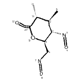 C[C@H]1[C@H](N=O)[C@@H](CN=O)OC(=O)[C@@H]1C